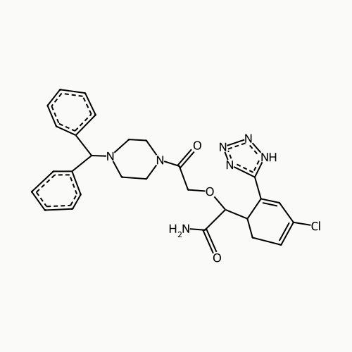 NC(=O)C(OCC(=O)N1CCN(C(c2ccccc2)c2ccccc2)CC1)C1CC=C(Cl)C=C1c1nnn[nH]1